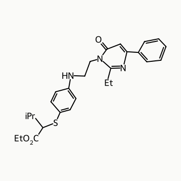 CCOC(=O)C(Sc1ccc(NCCn2c(CC)nc(-c3ccccc3)cc2=O)cc1)C(C)C